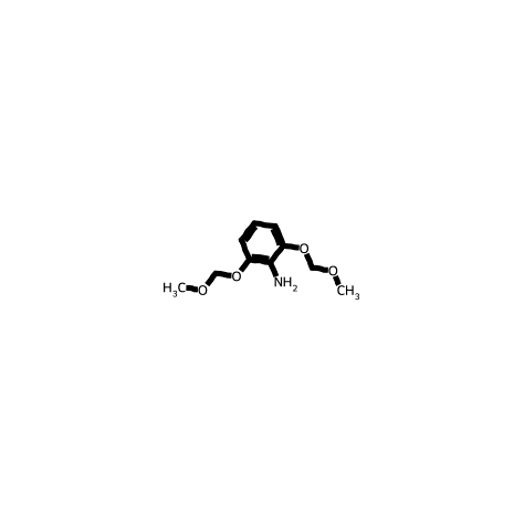 COCOc1cccc(OCOC)c1N